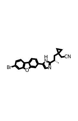 C[C@@H](CC1(CC#N)CC1)c1ncc(-c2ccc3c(c2)oc2cc(Br)ccc23)[nH]1